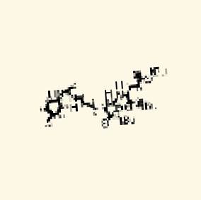 C=C(NCCCC[C@H](NC(=O)N[C@@H](CCC(=O)OC(C)(C)C)C(=O)OC(C)(C)C)C(=O)OC(C)(C)C)Nc1ccc(C)cc1